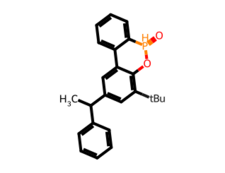 CC(c1ccccc1)c1cc2c(c(C(C)(C)C)c1)O[PH](=O)c1ccccc1-2